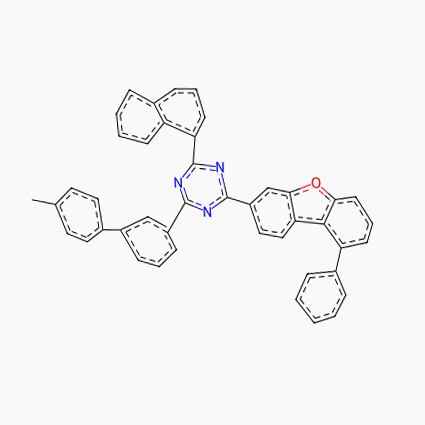 Cc1ccc(-c2cccc(-c3nc(-c4ccc5c(c4)oc4cccc(-c6ccccc6)c45)nc(-c4cccc5ccccc45)n3)c2)cc1